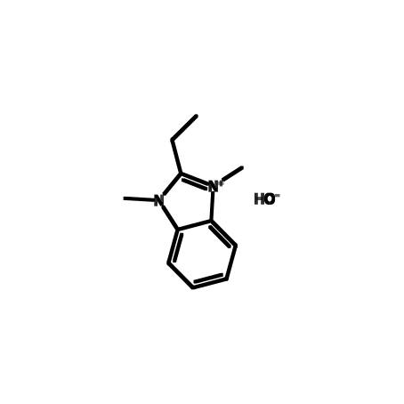 CCc1n(C)c2ccccc2[n+]1C.[OH-]